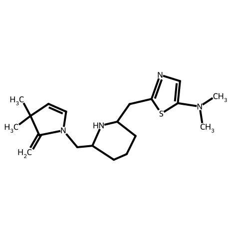 C=C1N(CC2CCCC(Cc3ncc(N(C)C)s3)N2)C=CC1(C)C